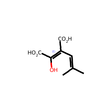 CC(C)=C/C(C(=O)O)=C(\O)C(=O)O